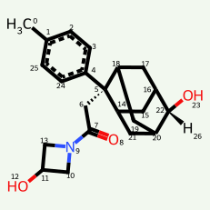 Cc1ccc([C@]2(CC(=O)N3CC(O)C3)C3CC4CC2CC(C3)[C@H]4O)cc1